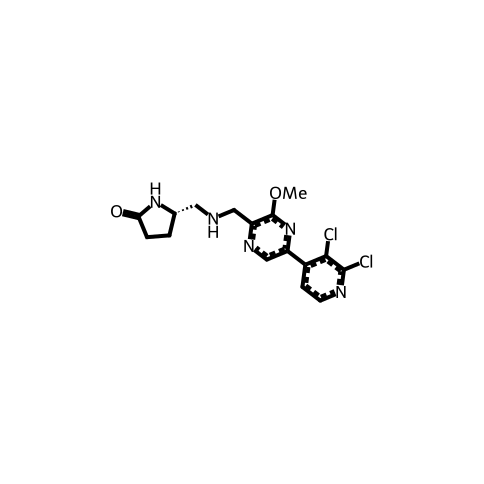 COc1nc(-c2ccnc(Cl)c2Cl)cnc1CNC[C@@H]1CCC(=O)N1